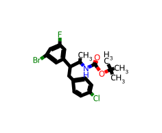 CC(NC(=O)OC(C)(C)C)C(Cc1ccc(Cl)cc1)c1cc(F)cc(Br)c1